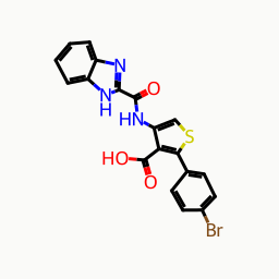 O=C(Nc1csc(-c2ccc(Br)cc2)c1C(=O)O)c1nc2ccccc2[nH]1